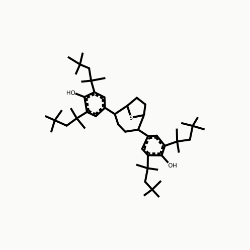 CC(C)(C)CC(C)(C)c1cc(C2CCC(c3cc(C(C)(C)CC(C)(C)C)c(O)c(C(C)(C)CC(C)(C)C)c3)C3CCC2S3)cc(C(C)(C)CC(C)(C)C)c1O